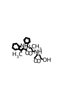 Cc1c(C(=O)N(c2ccccc2)[C@@H](C)C(=O)N[C@H](C=O)CC(=O)O)[nH]c2ccccc12